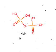 O=P(O)(O)OP(=O)(O)O.[NaH].[Zr]